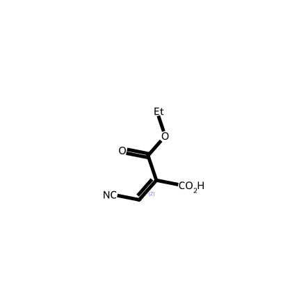 CCOC(=O)/C(=C\C#N)C(=O)O